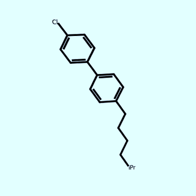 CC(C)CCCCc1ccc(-c2ccc(Cl)cc2)cc1